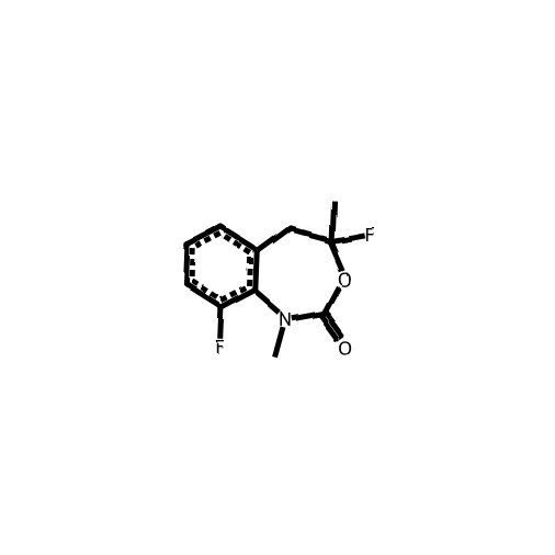 CN1C(=O)OC(C)(F)Cc2cccc(F)c21